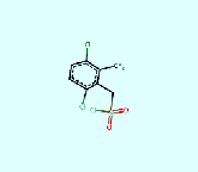 O=S(=O)(Cl)Cc1c(Cl)ccc(Cl)c1C(F)(F)F